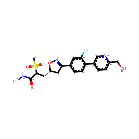 CS(=O)(=O)C(C[C@H]1CC(c2ccc(-c3ccc(CO)nc3)c(F)c2)=NO1)C(=O)NO